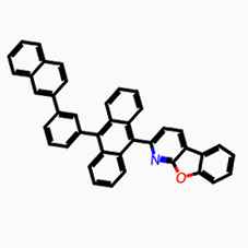 c1cc(-c2ccc3ccccc3c2)cc(-c2c3ccccc3c(-c3ccc4c(n3)oc3ccccc34)c3ccccc23)c1